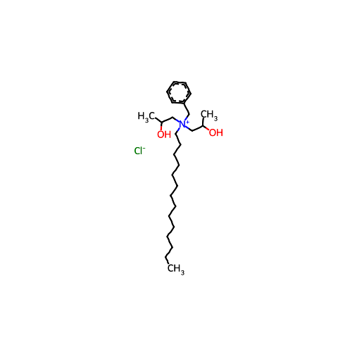 CCCCCCCCCCCCCC[N+](Cc1ccccc1)(CC(C)O)CC(C)O.[Cl-]